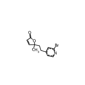 CC1(CCc2ccnc(Br)c2)C=CC(=O)O1